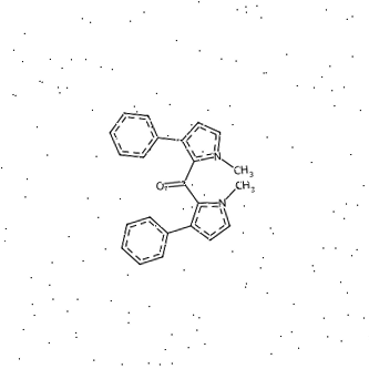 Cn1ccc(-c2ccccc2)c1C(=O)c1c(-c2ccccc2)ccn1C